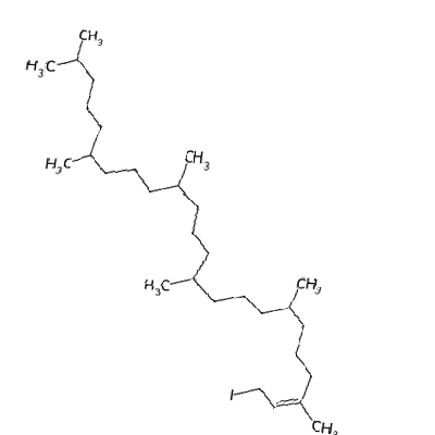 CC(=CCI)CCCC(C)CCCC(C)CCCC(C)CCCC(C)CCCC(C)C